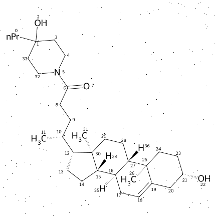 CCCC1(O)CCN(C(=O)CC[C@@H](C)[C@H]2CC[C@H]3[C@@H]4CC=C5C[C@@H](O)CC[C@]5(C)[C@H]4CC[C@]23C)CC1